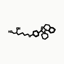 O=C1CCc2ccccc2N1[N+]1(C(=O)c2ccc(OCCCCC(O)CO)cc2)CCCCC1